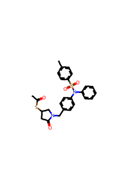 CC(=O)SC1CC(=O)N(Cc2ccc(N(c3ccccc3)S(=O)(=O)c3ccc(C)cc3)cc2)C1